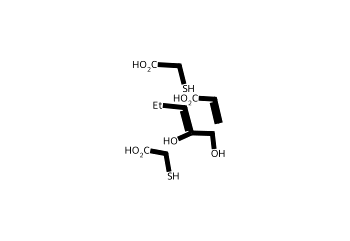 C=CC(=O)O.CCC=C(O)CO.O=C(O)CS.O=C(O)CS